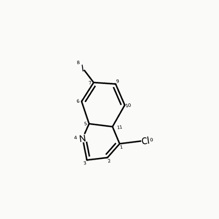 ClC1=CC=NC2C=C(I)C=CC12